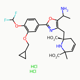 CC(N)c1oc(-c2ccc(OC(F)F)c(OCC3CC3)c2)nc1C[C@]1(C(=O)O)CC=CC(C)(C(=O)O)N1.Cl.Cl